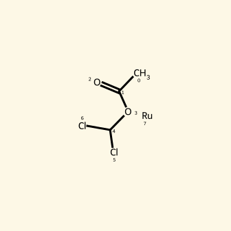 CC(=O)OC(Cl)Cl.[Ru]